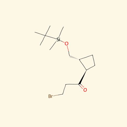 CC(C)(C)[Si](C)(C)OC[C@@H]1CC[C@H]1C(=O)CCBr